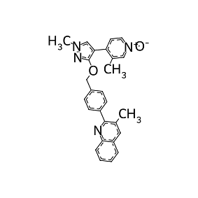 Cc1c[n+]([O-])ccc1-c1cn(C)nc1OCc1ccc(-c2nc3ccccc3cc2C)cc1